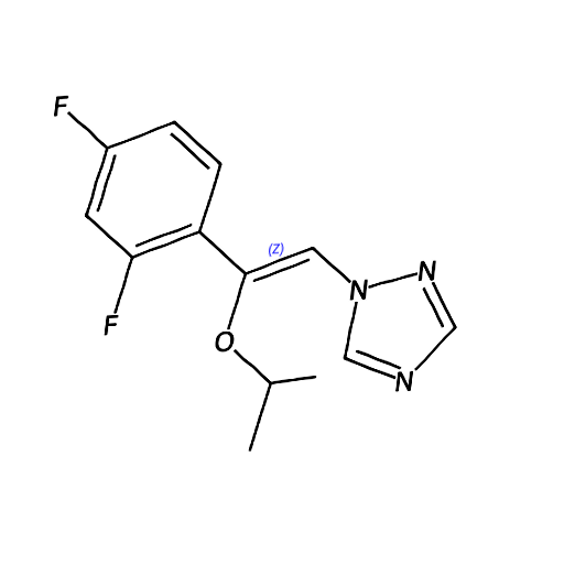 CC(C)O/C(=C\n1cncn1)c1ccc(F)cc1F